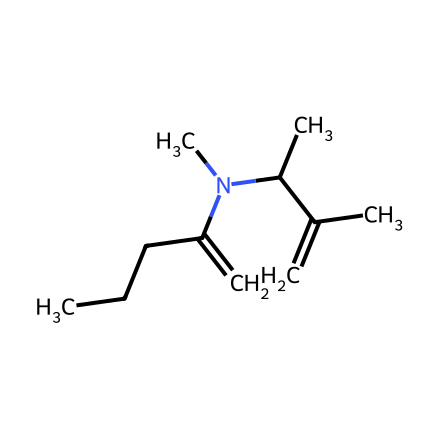 C=C(C)C(C)N(C)C(=C)CCC